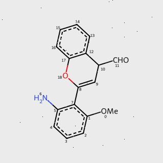 COc1cccc(N)c1C1=CC(C=O)c2ccccc2O1